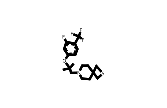 CC(C)(CN1CCC2(CC1)CSC2)Oc1ccc(C(F)(F)F)c(F)c1